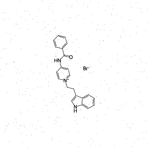 O=C(Nc1cc[n+](CCc2c[nH]c3ccccc23)cc1)c1ccccc1.[Br-]